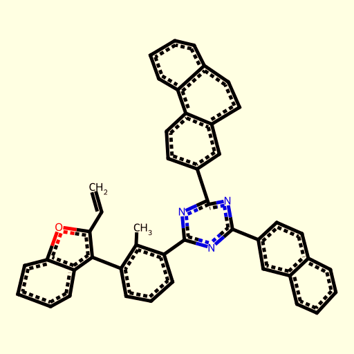 C=Cc1oc2ccccc2c1-c1cccc(-c2nc(-c3ccc4ccccc4c3)nc(-c3ccc4c(ccc5ccccc54)c3)n2)c1C